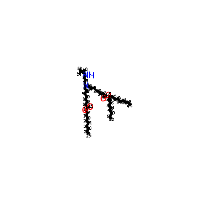 C=C(NCCCN(CCCCCCCC(=O)OCCCCCCCCC)CCCCCCCC(=O)OC(CCCCCCCC)CCCCCCCC)C(C)C